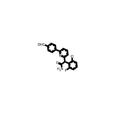 NC(=O)C(c1cccc(-c2ccc(C=O)cc2)n1)c1c(F)cccc1Cl